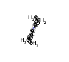 C=C(COC)C(=O)Oc1ccc(/C=C/c2ccc(-c3ccc(OC(=O)C(=C)COC)cc3)cc2)cc1